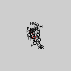 C[C@@H]1Cc2c(C(F)(F)F)nn(CC(=O)N[C@@H](Cc3cc(F)cc(F)c3)c3nc(CCC(C)(C)S(C)(=O)=O)ccc3-c3ccc(Cl)c4c(N(C(=O)N[C@@H](CC(=O)O)C(=O)O)S(C)(=O)=O)nn(CC(F)(F)F)c34)c2C1(F)F